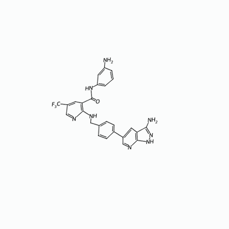 Nc1cccc(NC(=O)c2cc(C(F)(F)F)cnc2NCc2ccc(-c3cnc4[nH]nc(N)c4c3)cc2)c1